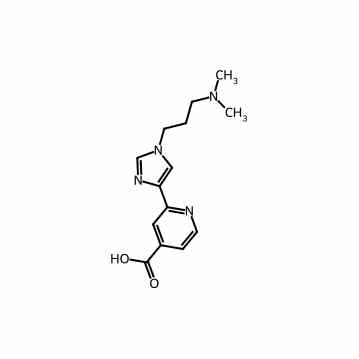 CN(C)CCCn1cnc(-c2cc(C(=O)O)ccn2)c1